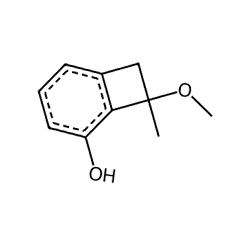 COC1(C)Cc2cccc(O)c21